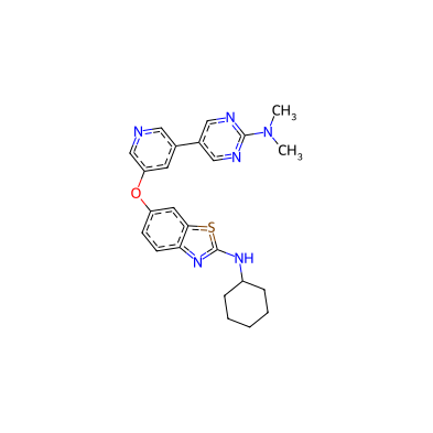 CN(C)c1ncc(-c2cncc(Oc3ccc4nc(NC5CCCCC5)sc4c3)c2)cn1